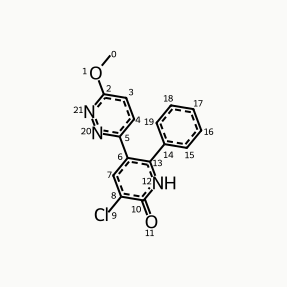 COc1ccc(-c2cc(Cl)c(=O)[nH]c2-c2ccccc2)nn1